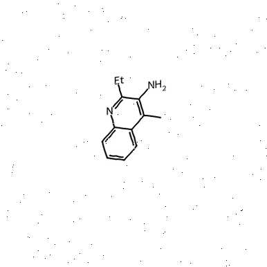 CCc1nc2ccccc2c(C)c1N